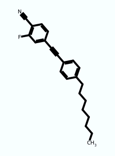 CCCCCCCCc1ccc(C#Cc2ccc(C#N)c(F)c2)cc1